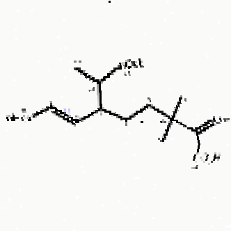 CCCCCC/C=C/C(CCC(C)(C)C(=O)C(=O)O)C(C)CCCCCCCC